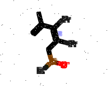 C=C(C)/C(=C(\C[S+]([O-])CC)C(C)C)C(C)C